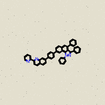 c1ccc(-c2cc3ccc(-c4ccc(-c5ccc6ccc(-c7ccccn7)nc6c5)cc4)cc3c3c2c(-c2ccccc2)nn3-c2ccccc2)cc1